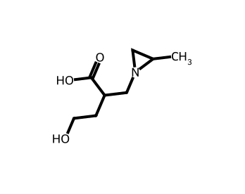 CC1CN1CC(CCO)C(=O)O